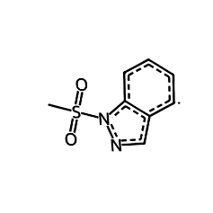 CS(=O)(=O)n1ncc2[c]cccc21